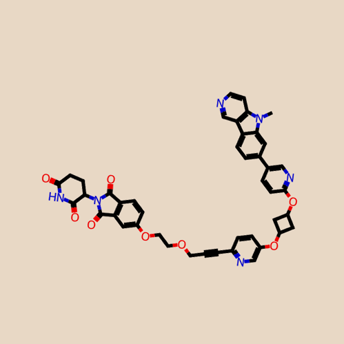 Cn1c2ccncc2c2ccc(-c3ccc(OC4CC(Oc5ccc(C#CCOCCOc6ccc7c(c6)C(=O)N(C6CCC(=O)NC6=O)C7=O)nc5)C4)nc3)cc21